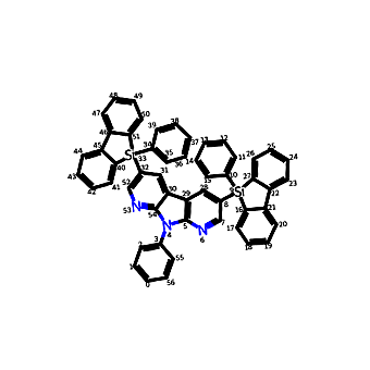 c1ccc(-n2c3ncc([Si]4(c5ccccc5)c5ccccc5-c5ccccc54)cc3c3cc([Si]4(c5ccccc5)c5ccccc5-c5ccccc54)cnc32)cc1